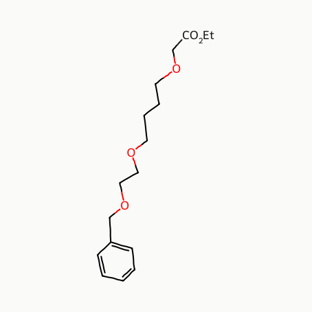 CCOC(=O)COCCCCOCCOCc1ccccc1